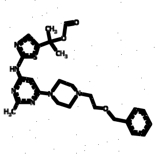 Cc1nc(Nc2ncc(C(C)(C)OC=O)s2)cc(N2CCN(CCOCc3ccccc3)CC2)n1